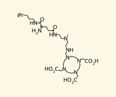 CC(C)CCCNC(=O)[C@H](N)CCC(=O)NCCN(C)CCNCN1CCN(CC(=O)O)CCN(CC(=O)O)CCN(CC(=O)O)CC1